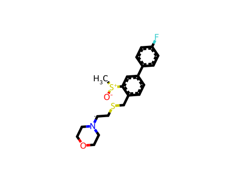 C[S+]([O-])c1cc(-c2ccc(F)cc2)ccc1CSC[CH]N1CCOCC1